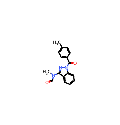 Cc1ccc(C(=O)n2nc(N(C)C=O)c3ccccc32)cc1